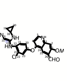 COc1cc2nccc(Oc3ccc(N/C(=C/[N+](=O)[O-])NC4CC4)c(Cl)c3)c2cc1C=O